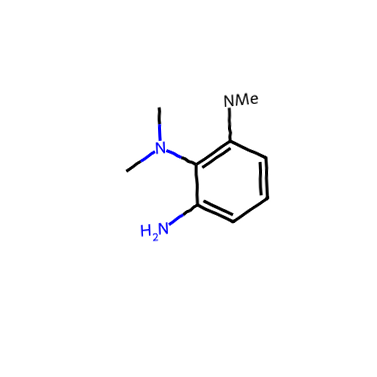 CNc1cccc(N)c1N(C)C